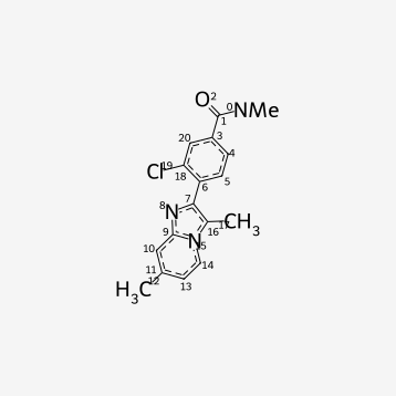 CNC(=O)c1ccc(-c2nc3cc(C)ccn3c2C)c(Cl)c1